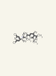 Cc1nn(C)c2nc(CN(C)/C(=N\C#N)N(c3cc(Cl)nc(Cl)c3)C(C)C)cc(C(C)C)c12